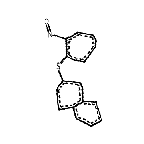 O=Nc1ccccc1Sc1ccc2ccccc2c1